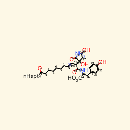 CCCCCCCC(=O)CCCCCC/C=C/[C@H](C(=O)N[C@@H](Cc1ccc(O)cc1)C(=O)O)[C@@](O)(CCO)C(N)=O